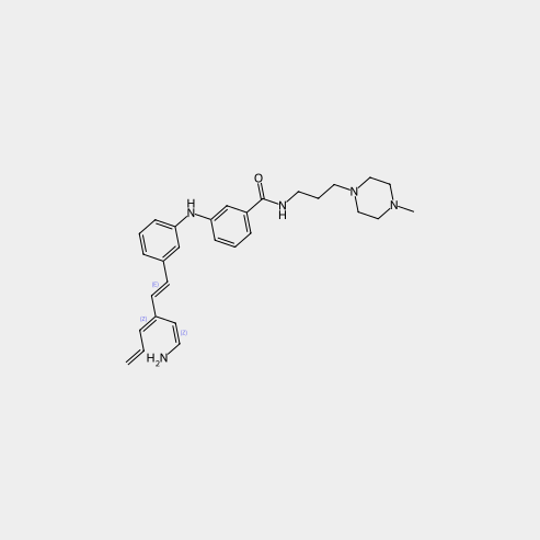 C=C/C=C(\C=C/N)/C=C/c1cccc(Nc2cccc(C(=O)NCCCN3CCN(C)CC3)c2)c1